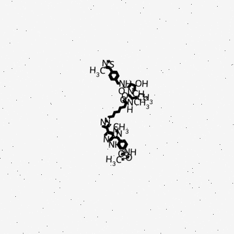 CCS(=O)(=O)Nc1ccc(-c2nn(C)c3c(-c4cnn(CCCCCCC(=O)N[C@H](C(=O)N5C[C@H](O)C[C@H]5C(=O)NCc5ccc(-c6scnc6C)cc5)C(C)(C)C)c4)cnc(N)c23)cc1